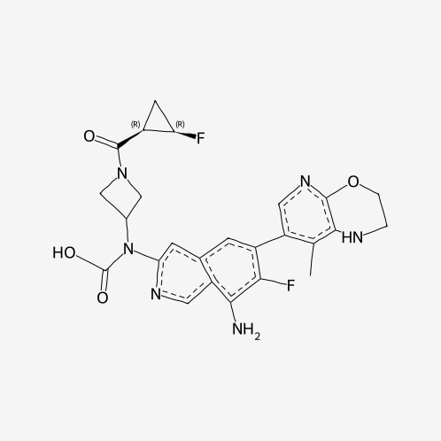 Cc1c(-c2cc3cc(N(C(=O)O)C4CN(C(=O)[C@H]5C[C@H]5F)C4)ncc3c(N)c2F)cnc2c1NCCO2